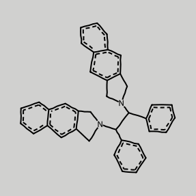 c1ccc(C(C(c2ccccc2)N2Cc3cc4ccccc4cc3C2)N2Cc3cc4ccccc4cc3C2)cc1